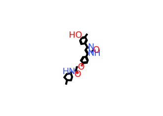 Cc1cc(-c2cc(-c3ccc(OCC(=O)NC4CCC(C)CC4)cc3)[nH]c(=O)n2)ccc1O